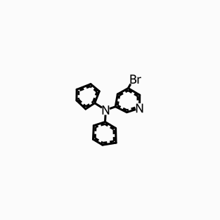 Brc1cncc(N(c2ccccc2)c2ccccc2)c1